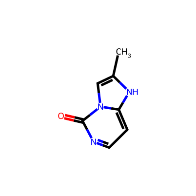 Cc1cn2c(=O)nccc2[nH]1